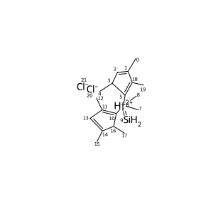 CC1=CC(C)[C]([Hf+2]([CH3])([CH3])(=[SiH2])[C]2=C(C)C=C(C)C2C)=C1C.[Cl-].[Cl-]